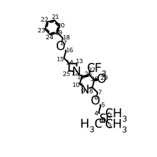 C[Si](C)(C)CCOCC1N=CC(N2CC(CCOCc3ccccc3)C2)=C(C(F)(F)F)C1=O